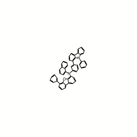 c1ccc(-c2cccc3c2oc2c(N(c4cccc(-c5cccc6c7ccccc7n(-c7ccccc7)c56)c4)c4cccc5ccccc45)cccc23)cc1